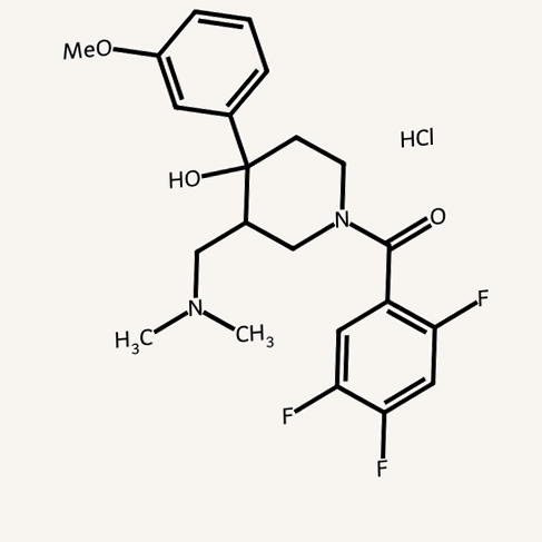 COc1cccc(C2(O)CCN(C(=O)c3cc(F)c(F)cc3F)CC2CN(C)C)c1.Cl